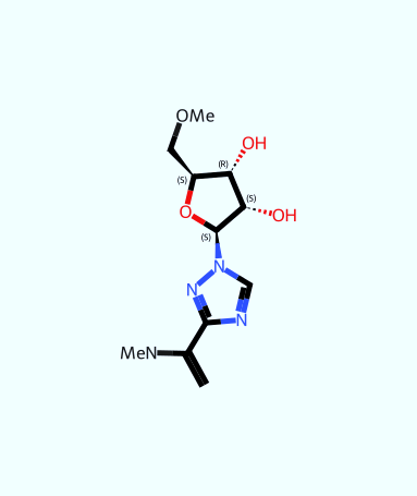 C=C(NC)c1ncn([C@H]2O[C@@H](COC)[C@H](O)[C@@H]2O)n1